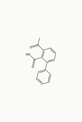 CC(=O)c1cccc(-c2ccccc2)c1C(=O)O